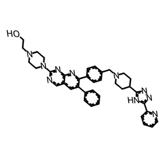 OCCN1CCN(c2ncc3cc(-c4ccccc4)c(-c4ccc(CN5CCC(c6nnc(-c7ccccn7)[nH]6)CC5)cc4)nc3n2)CC1